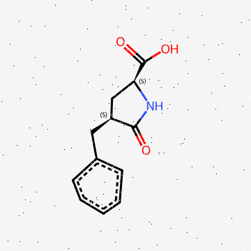 O=C1N[C@H](C(=O)O)C[C@@H]1Cc1ccccc1